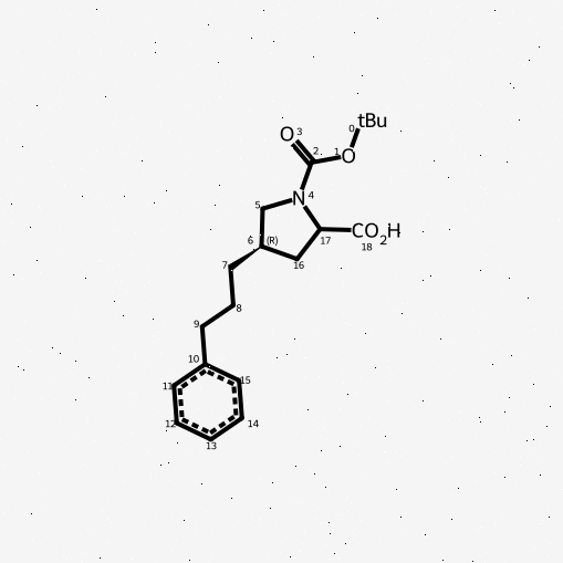 CC(C)(C)OC(=O)N1C[C@H](CCCc2ccccc2)CC1C(=O)O